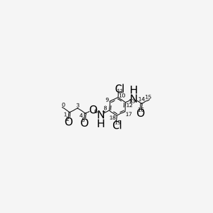 CC(=O)CC(=O)ONc1cc(Cl)c(NC(C)=O)cc1Cl